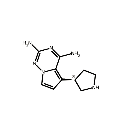 Nc1nc(N)c2c([C@H]3CCNC3)ccn2n1